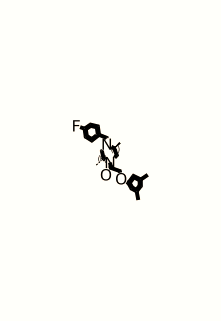 Cc1cc(C)cc(OCC(=O)N2C[C@H](C)N(Cc3ccc(F)cc3)C[C@H]2C)c1